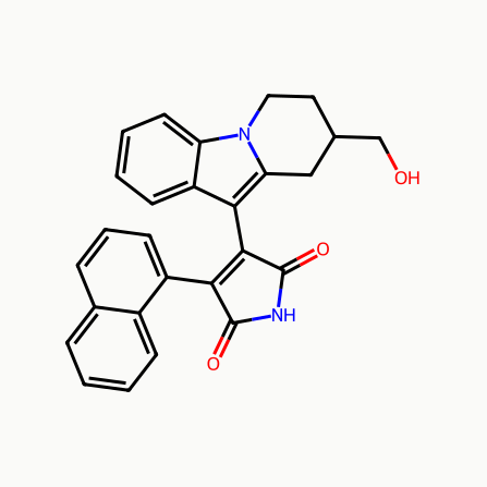 O=C1NC(=O)C(c2c3n(c4ccccc24)CCC(CO)C3)=C1c1cccc2ccccc12